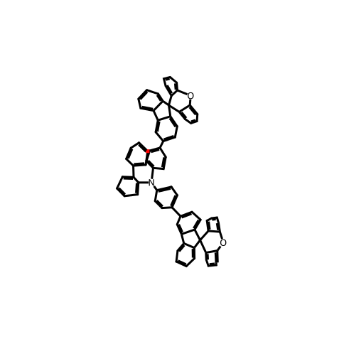 c1ccc(-c2ccccc2N(c2ccc(-c3ccc4c(c3)-c3ccccc3C43c4ccccc4Oc4ccccc43)cc2)c2ccc(-c3ccc4c(c3)-c3ccccc3C43c4ccccc4Oc4ccccc43)cc2)cc1